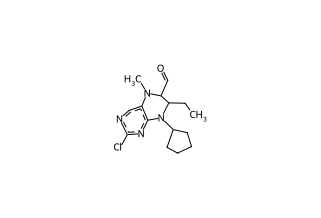 CCC1C(C=O)N(C)c2cnc(Cl)nc2N1C1CCCC1